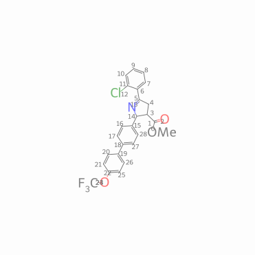 COC(=O)C1CC(c2ccccc2Cl)=NC1c1ccc(-c2ccc(OC(F)(F)F)cc2)cc1